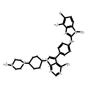 Cc1c(Cl)ccc2c1nc(Nc1ccc(-c3cn(C4CCC(N5CCN(C)CC5)CC4)c4ncnc(N)c34)cc1)n2C